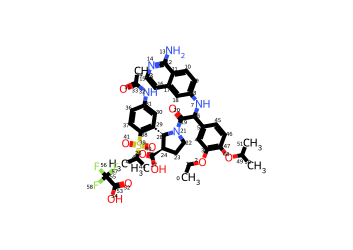 CCOc1cc(C(Nc2ccc3c(N)nccc3c2)C(=O)N2CC[C@@H](C(=O)O)[C@@H]2c2cc(NC(C)=O)ccc2S(=O)(=O)C(C)C)ccc1OC(C)C.O=C(O)C(F)(F)F